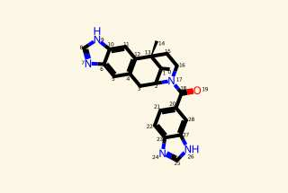 CC1C2Cc3cc4nc[nH]c4cc3[C@]1(C)CCN2C(=O)c1ccc2nc[nH]c2c1